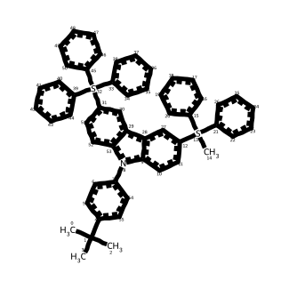 CC(C)(C)c1ccc(-n2c3ccc(S(C)(c4ccccc4)c4ccccc4)cc3c3cc(S(c4ccccc4)(c4ccccc4)c4ccccc4)ccc32)cc1